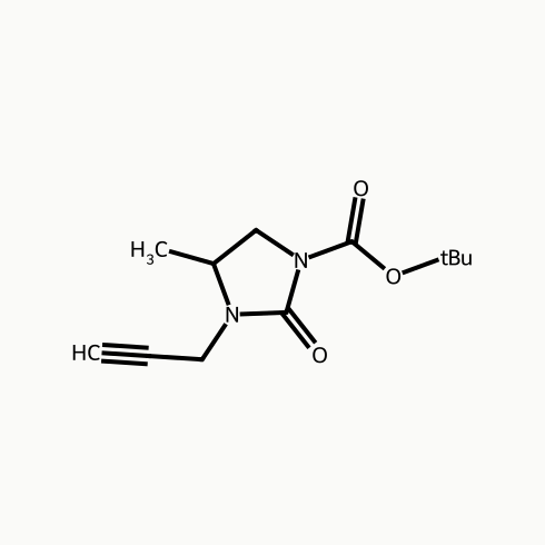 C#CCN1C(=O)N(C(=O)OC(C)(C)C)CC1C